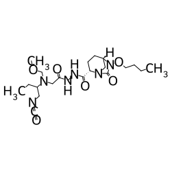 CCCCON1C(=O)N2C[C@@H]1CC[C@H]2C(=O)NNC(=O)CN(COC)C(CC)CN=C=O